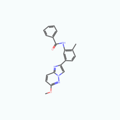 COc1ccc2nc(-c3ccc(C)c(NC(=O)c4ccccc4)c3)cn2n1